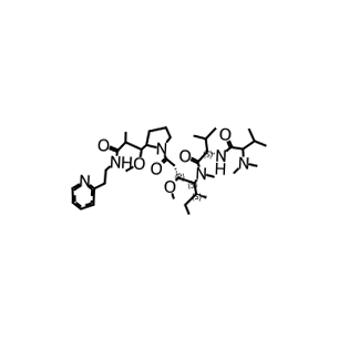 CC[C@H](C)[C@@H]([C@@H](CC(=O)N1CCCC1C(OC)C(C)C(=O)NCCc1ccccn1)OC)N(C)C(=O)[C@@H](NC(=O)C(C(C)C)N(C)C)C(C)C